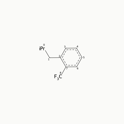 CC(C)Cc1ccccc1C(F)(F)F